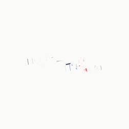 CCCCOC(=O)NC=CCCCC(=O)O